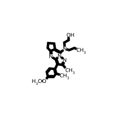 CCCN(CCO)c1c2c(nc3c(-c4ccc(OC)cc4C)c(C)nn13)CCC2